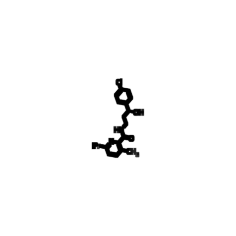 Cc1ccc(C(C)C)nc1C(=O)NCC[C@H](O)c1ccc(Cl)cc1